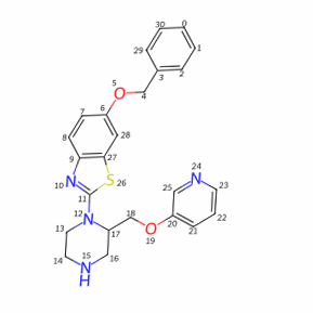 c1ccc(COc2ccc3nc(N4CCNCC4COc4cccnc4)sc3c2)cc1